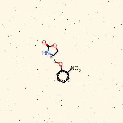 O=C1N[C@@H](COc2ccccc2[N+](=O)[O-])CO1